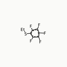 CCSc1c(F)c(F)c(F)c(F)c1F